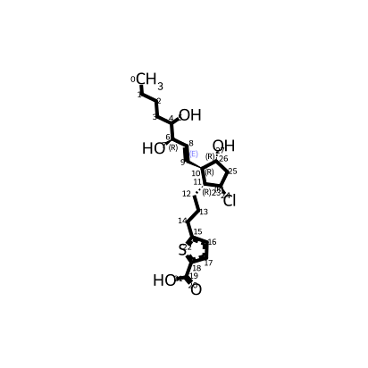 CCCCC(O)[C@H](O)/C=C/[C@@H]1[C@@H](CCCc2ccc(C(=O)O)s2)[C@H](Cl)C[C@H]1O